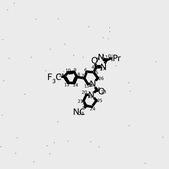 CC(C)c1noc(C2CC(c3ccc(C(F)(F)F)cc3)CN(C(=O)N3CCC(C#N)CC3)C2)n1